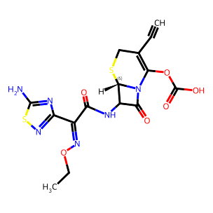 C#CC1=C(OC(=O)O)N2C(=O)C(NC(=O)C(=NOCC)c3nsc(N)n3)[C@@H]2SC1